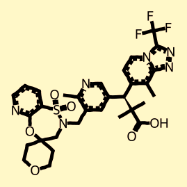 Cc1ncc([C@@H](c2ccn3c(C(F)(F)F)nnc3c2C)C(C)(C)C(=O)O)cc1CN1CC2(CCOCC2)Oc2ncccc2S1(=O)=O